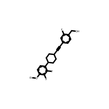 CCOc1ccc(C2CCC(C#Cc3ccc(CO)c(F)c3)CC2)c(F)c1F